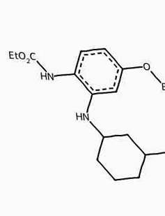 CCOC(=O)Nc1ccc(OCC)cc1NC1CCCC(C)C1